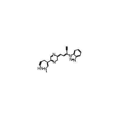 C#C/C(=C\C=C1/CN=C(C2=CN(C)NC#CC2)C=N1)n1nnc2ccccc21